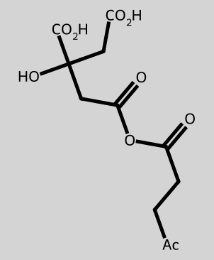 CC(=O)CCC(=O)OC(=O)CC(O)(CC(=O)O)C(=O)O